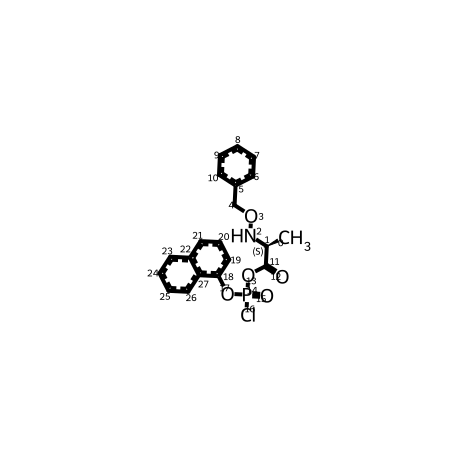 C[C@H](NOCc1ccccc1)C(=O)OP(=O)(Cl)Oc1cccc2ccccc12